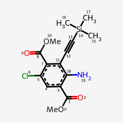 COC(=O)c1cc(Cl)c(C(=O)OC)c(C#C[Si](C)(C)C)c1N